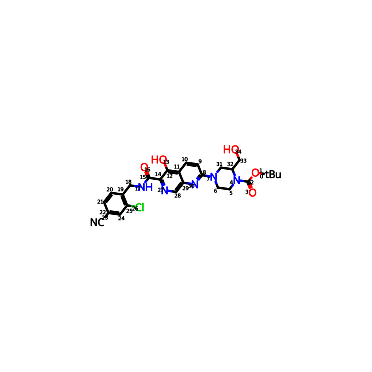 CC(C)(C)OC(=O)N1CCN(c2ccc3c(O)c(C(=O)NCc4ccc(C#N)cc4Cl)ncc3n2)CC1CO